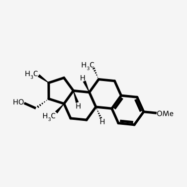 COc1ccc2c(c1)C[C@@H](C)[C@@H]1[C@@H]2CC[C@@]2(C)[C@@H]1C[C@H](C)[C@H]2CO